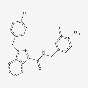 Cn1ccc(CNC(=O)c2nn(Cc3ccc(Cl)cc3)c3ccccc23)cc1=O